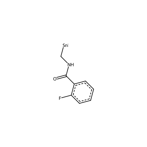 O=C(N[CH2][Sn])c1ccccc1F